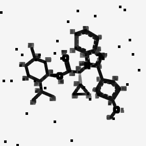 COc1ccc(-c2nc3ccccc3n2[C@@H](C(=O)O[C@@H]2CC(C)CCC2C(C)C)C2CC2)cc1